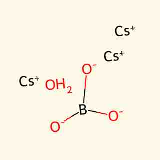 O.[Cs+].[Cs+].[Cs+].[O-]B([O-])[O-]